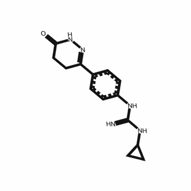 N=C(Nc1ccc(C2=NNC(=O)CC2)cc1)NC1CC1